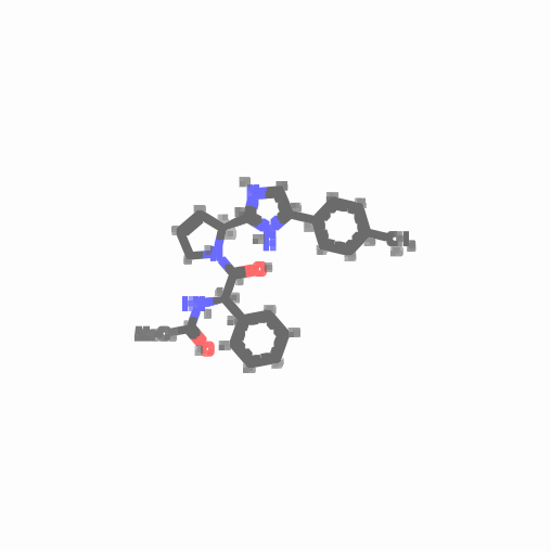 COC(=O)N[C@@H](C(=O)N1CC=C[C@H]1c1ncc(-c2ccc(C)cc2)[nH]1)c1ccccc1